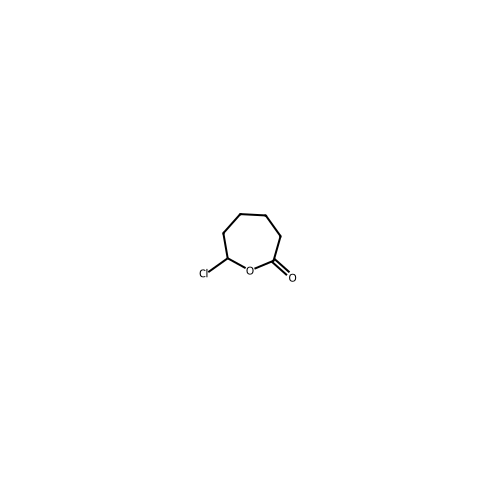 O=C1CCCCC(Cl)O1